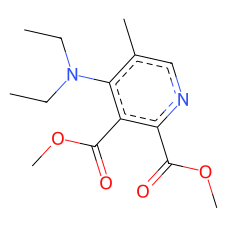 CCN(CC)c1c(C)cnc(C(=O)OC)c1C(=O)OC